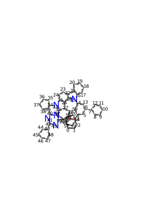 c1ccc(-c2cc(-c3ccccc3)cc(-n3c4ccccc4c4ccc5c(c6ccccc6n5-c5ccccc5-c5nc(-c6ccccc6)nc(-c6ccccc6)n5)c43)c2)cc1